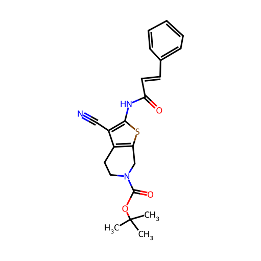 CC(C)(C)OC(=O)N1CCc2c(sc(NC(=O)C=Cc3ccccc3)c2C#N)C1